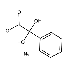 O=C([O-])C(O)(O)c1ccccc1.[Na+]